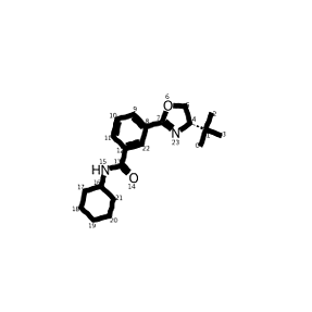 CC(C)(C)[C@H]1COC(c2cccc(C(=O)NC3CCCCC3)c2)=N1